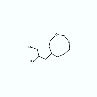 CC(CO)CC1CCCOCOCC1